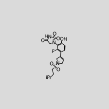 CC(C)CCS(=O)(=O)N1CC=C(c2ccc(O)c(N3CC(=O)NS3(=O)=O)c2F)C1